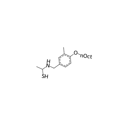 CCCCCCCCOc1ccc(CNC(C)S)cc1C